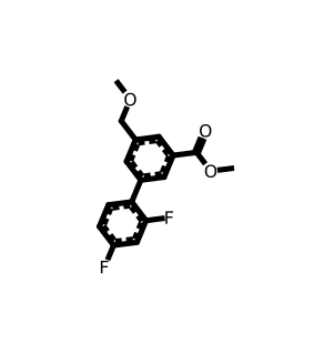 COCc1cc(C(=O)OC)cc(-c2ccc(F)cc2F)c1